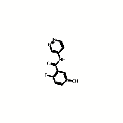 N#Cc1ccc(F)c(C(=O)Nc2ccnnc2)c1